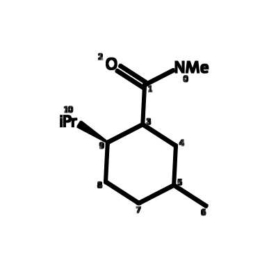 CNC(=O)C1CC(C)CC[C@H]1C(C)C